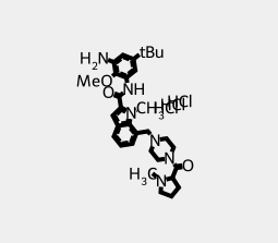 COc1c(N)cc(C(C)(C)C)cc1NC(=O)c1cc2cccc(CN3CCN(C(=O)C4CCCN4C)CC3)c2n1C.Cl.Cl.Cl